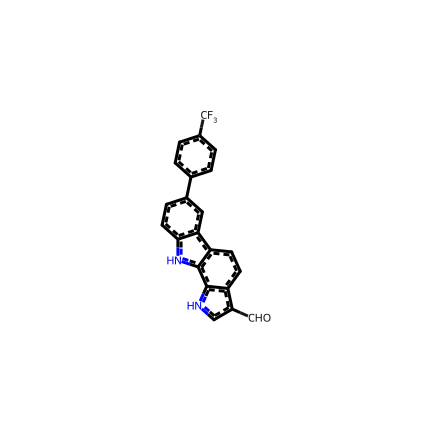 O=Cc1c[nH]c2c1ccc1c3cc(-c4ccc(C(F)(F)F)cc4)ccc3[nH]c12